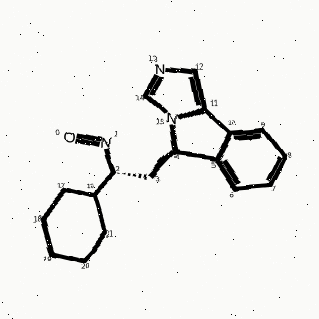 O=N[C@H](CC1c2ccccc2-c2cncn21)C1CCCCC1